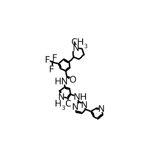 Cc1ncc(NC(=O)c2cc(C3CCCN(C)C3)cc(C(F)(F)F)c2)cc1Nc1nccc(-c2cccnc2)n1